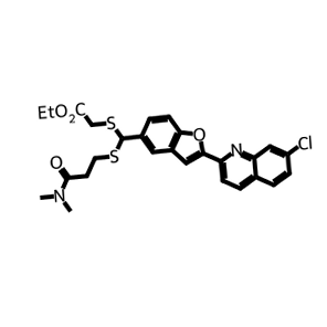 CCOC(=O)CSC(SCCC(=O)N(C)C)c1ccc2oc(-c3ccc4ccc(Cl)cc4n3)cc2c1